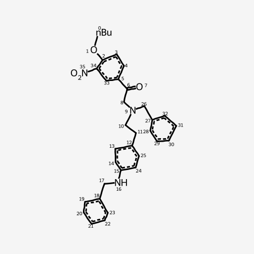 CCCCOc1ccc(C(=O)CN(CCc2ccc(NCc3ccccc3)cc2)Cc2ccccc2)cc1[N+](=O)[O-]